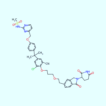 CC(C)(c1ccc(OCc2ccnc(NS(C)(=O)=O)n2)cc1)c1cc(Cl)c(OCCCOCCc2ccc3c(c2)CN(C2CCC(=O)NC2=O)C3=O)c(C#N)c1